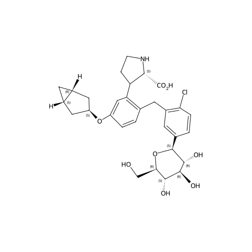 O=C(O)[C@H]1NCCC1c1cc(O[C@H]2C[C@@H]3C[C@@H]3C2)ccc1Cc1cc([C@@H]2O[C@H](CO)[C@@H](O)[C@H](O)[C@H]2O)ccc1Cl